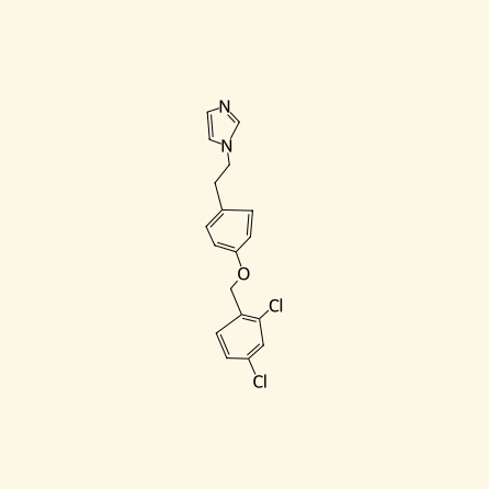 Clc1ccc(COc2ccc(CCn3ccnc3)cc2)c(Cl)c1